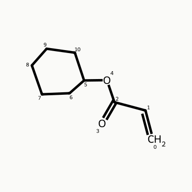 C=CC(=O)OC1CC[CH]CC1